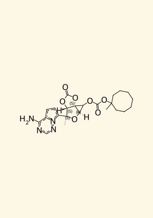 CC1(OC(=O)OC2[C@H]3O[C@@](C)(c4ccc5c(N)ncnn45)[C@@H]4OC(=O)O[C@]234)CCCCCCC1